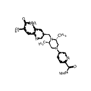 CCc1cc2ncc(CN3[C@H](C)CN(c4ccc(C(=O)NC)nc4)C[C@H]3C)cc2[nH]c1=O